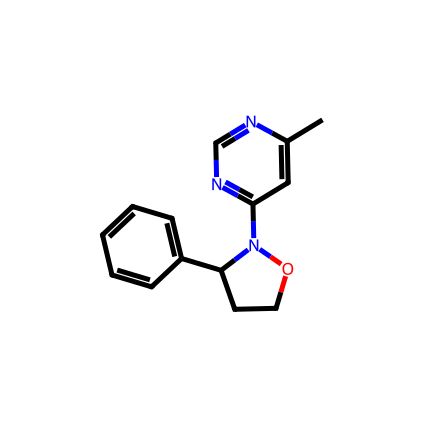 Cc1cc(N2OCCC2c2ccccc2)ncn1